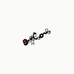 COC(=O)CCc1ccc(OCCC(NC(=O)OCC23CC4CC(CC(C4)C2)C3)C(=O)OC(C)(C)C)cc1